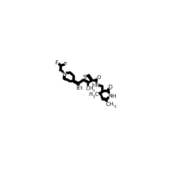 CCC(=C1CCN(CC(F)F)CC1)c1scc(C(=O)NCc2c(C)cc(C)[nH]c2=O)c1C